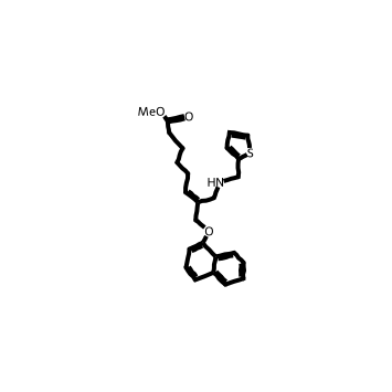 COC(=O)CCCCC=C(CNCc1cccs1)COc1cccc2ccccc12